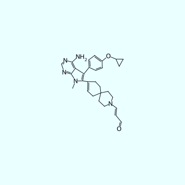 Cn1c(C2=CCC3(CC2)CCN(C=CC=O)CC3)c(-c2ccc(OC3CC3)cc2)c2c(N)ncnc21